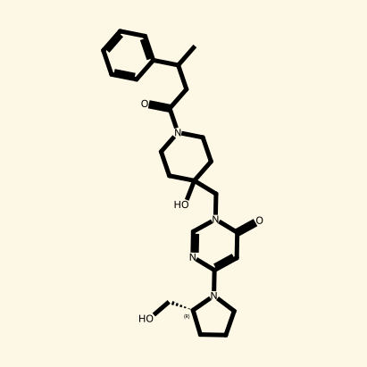 CC(CC(=O)N1CCC(O)(Cn2cnc(N3CCC[C@@H]3CO)cc2=O)CC1)c1ccccc1